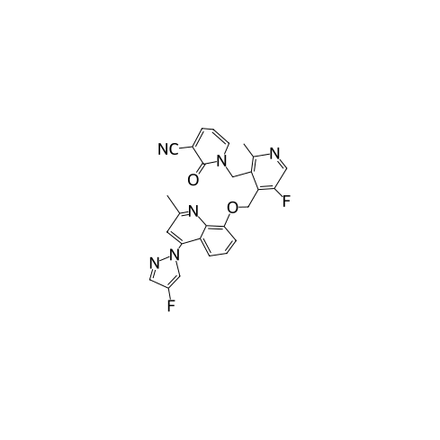 Cc1cc(-n2cc(F)cn2)c2cccc(OCc3c(F)cnc(C)c3Cn3cccc(C#N)c3=O)c2n1